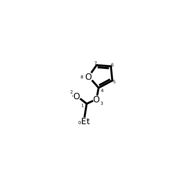 CCC([O])Oc1ccco1